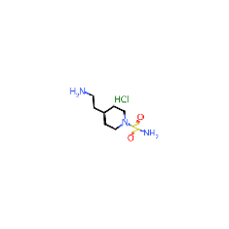 Cl.NCCC1CCN(S(N)(=O)=O)CC1